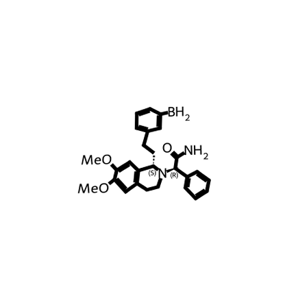 Bc1cccc(CC[C@H]2c3cc(OC)c(OC)cc3CCN2[C@@H](C(N)=O)c2ccccc2)c1